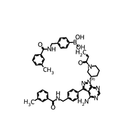 C=CC(=O)N1CCC[C@@H](n2nc(-c3ccc(CNC(=O)c4cccc(C)c4)cc3)c3c(N)ncnc32)C1.Cc1cccc(C(=O)NCc2ccc(B(O)O)cc2)c1